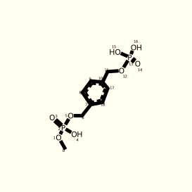 COP(=O)(O)OCc1ccc(COP(=O)(O)O)cc1